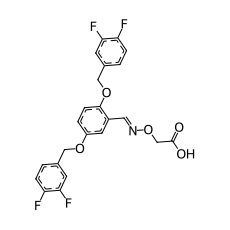 O=C(O)CON=Cc1cc(OCc2ccc(F)c(F)c2)ccc1OCc1ccc(F)c(F)c1